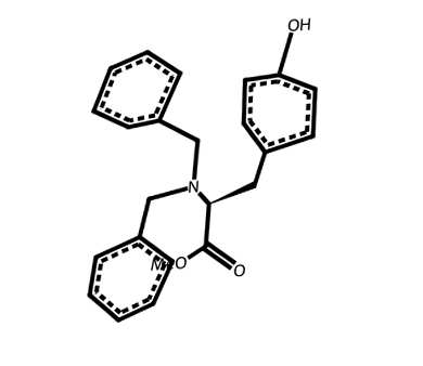 COC(=O)[C@H](Cc1ccc(O)cc1)N(Cc1ccccc1)Cc1ccccc1